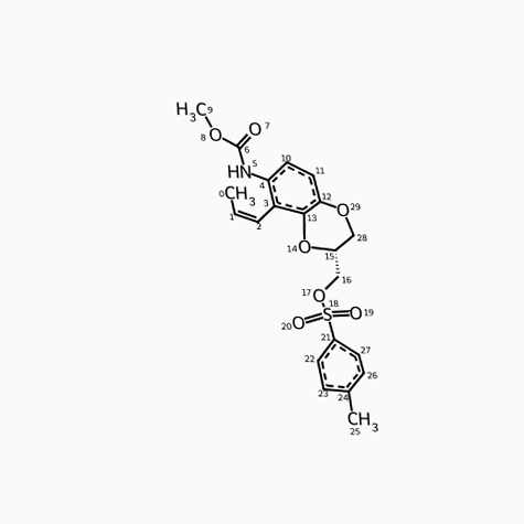 C/C=C\c1c(NC(=O)OC)ccc2c1O[C@@H](COS(=O)(=O)c1ccc(C)cc1)CO2